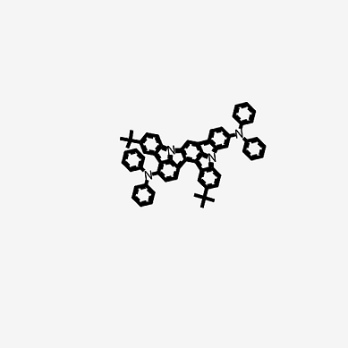 CC(C)(C)c1ccc2c(c1)c1c(N(c3ccccc3)c3ccccc3)ccc3c4c5c6cc(C(C)(C)C)ccc6n6c7cc(N(c8ccccc8)c8ccccc8)ccc7c(cc4n2c31)c56